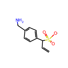 C=CC(c1ccc(CN)cc1)S([O])(=O)=O